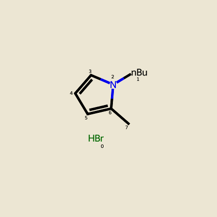 Br.CCCCn1cccc1C